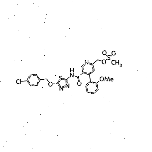 COc1ccccc1-c1cc(COS(C)(=O)=O)ncc1C(=O)Nc1nnc(OCc2ccc(Cl)cc2)s1